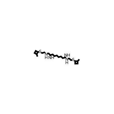 CC1CCC1SCCNCC(=N)CCCCCCC(=N)NCCSC1CCC1C